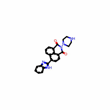 O=C1c2cccc3c(-c4nc5ccccc5[nH]4)ccc(c23)C(=O)N1N1CCNCC1